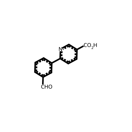 O=Cc1cccc(-c2ccc(C(=O)O)cn2)c1